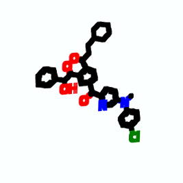 CN(c1ccc(Cl)cc1)c1ccc(C(=O)c2ccc(C(=O)CCC3CCCCC3)c(C(=O)C(O)c3ccccc3)c2)nc1